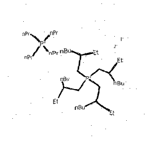 CCCCC(CC)C[P+](CC(CC)CCCC)(CC(CC)CCCC)CC(CC)CCCC.CCC[P+](CCC)(CCC)CCC.[I-].[I-]